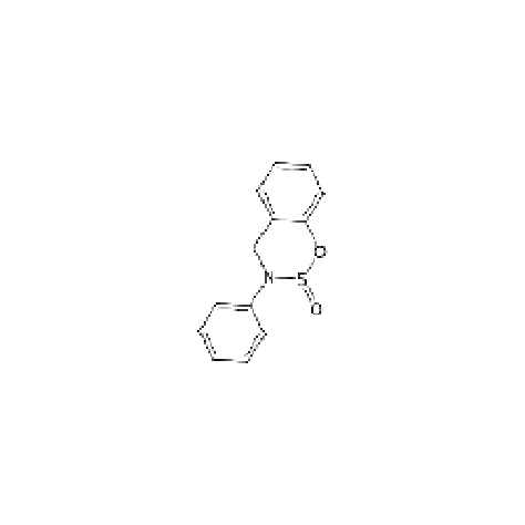 O=S1Oc2ccccc2CN1c1ccccc1